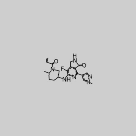 C=CC(=O)N1CC(Nc2nc(-c3cnn(C)c3)c3c(c2F)CNC3=O)CCC1C